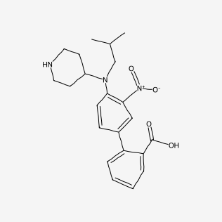 CC(C)CN(c1ccc(-c2ccccc2C(=O)O)cc1[N+](=O)[O-])C1CCNCC1